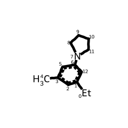 CCc1cc(C)cc(N2CCCC2)c1